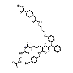 CCC(=O)NCCNC(=O)/N=C(/N)NCCC[C@@H](NC(=O)C(c1ccccc1)c1cccc(OCCCCNC(=O)CN2CCN(C(=O)OC(C)(C)C)CC2)c1)C(=O)NCc1ccc(O)cc1